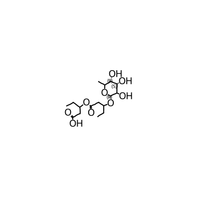 CCC(CC(=O)O)OC(=O)CC(CC)O[C@@H]1OC(C)[C@H](O)[C@H](O)C1O